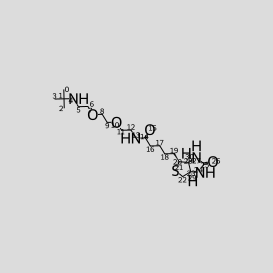 CC(C)(C)NCCOCCOCCNC(=O)CCCC[C@@H]1SC[C@@H]2NC(=O)N[C@@H]21